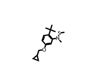 CSN(C)c1cc(OCC2CC2)ccc1C(C)(C)C